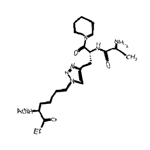 CCC(=O)C(CCCCn1cc(C[C@@H](NC(=O)C(C)N)C(=O)N2CCCCC2)nn1)NC(C)=O